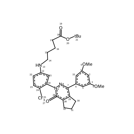 COc1cc(OC)cc(-c2nn(-c3cc(NCCCCC(=O)OC(C)(C)C)ccc3C(F)(F)F)c(=O)c3c2CCC3)c1